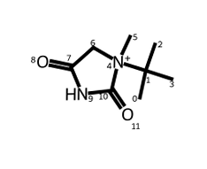 CC(C)(C)[N+]1(C)CC(=O)NC1=O